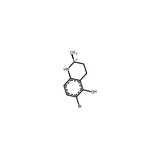 C[C@H]1CCc2c(ccc(Br)c2O)N1